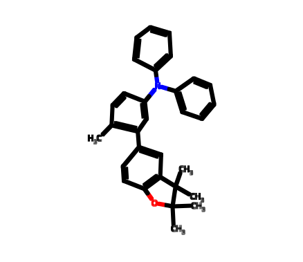 Cc1ccc(N(c2ccccc2)c2ccccc2)cc1-c1ccc2c(c1)C(C)(C)C(C)(C)O2